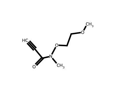 C#CC(=O)N(C)OCCOC